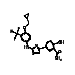 NC(=O)c1cc(-c2csc(Nc3ccc(OCC4CC4)c(C(F)(F)F)c3)n2)ccc1O